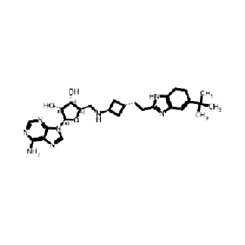 CC(C)(C)C1=Cc2nc(CC[C@H]3C[C@H](NC[C@H]4O[C@@H](n5cnc6c(N)ncnc65)[C@H](O)[C@@H]4O)C3)[nH]c2CC1